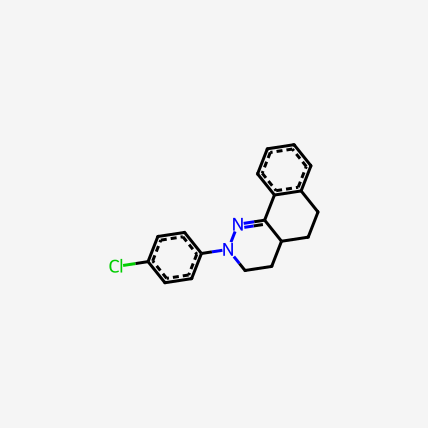 Clc1ccc(N2CCC3CCc4ccccc4C3=N2)cc1